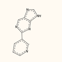 [c]1ncccc1-c1ncc2nc[nH]c2n1